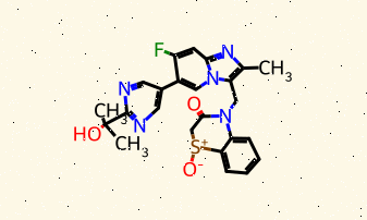 Cc1nc2cc(F)c(-c3cnc(C(C)(C)O)nc3)cn2c1CN1C(=O)C[S+]([O-])c2ccccc21